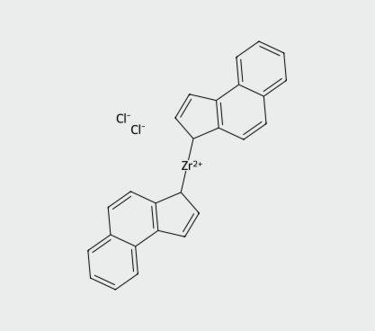 C1=C[CH]([Zr+2][CH]2C=Cc3c2ccc2ccccc32)c2ccc3ccccc3c21.[Cl-].[Cl-]